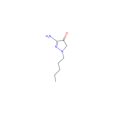 CCCCCN1CC(=O)C(N)=N1